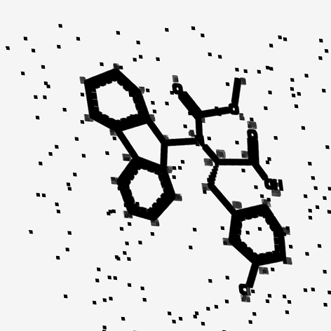 COC(=O)N(C1c2ccccc2-c2ccccc21)[C@@H](Cc1cccc(Cl)c1)C(=O)O